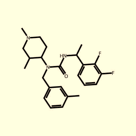 Cc1cccc(CN(C(=O)NC(C)c2cccc(F)c2F)C2CCN(C)CC2C)c1